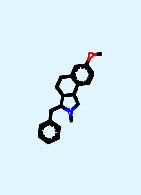 COc1ccc2c(c1)CCC1C2CN(C)C1Cc1ccccc1